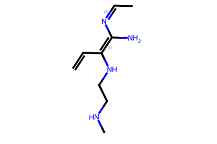 C=C/C(NCCNC)=C(N)\N=C/C